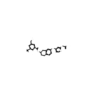 CNCc1cc(C(=O)NC2CCc3ccc(Oc4ccnc(NC(C)=O)c4)cc3C2)cc(C(C)(C)C)c1